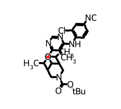 [C-]#[N+]c1ccc(Nc2ncnc(OC3C4CN(C(=O)OC(C)(C)C)CC3C(C)OC4C)c2C)c(Cl)c1